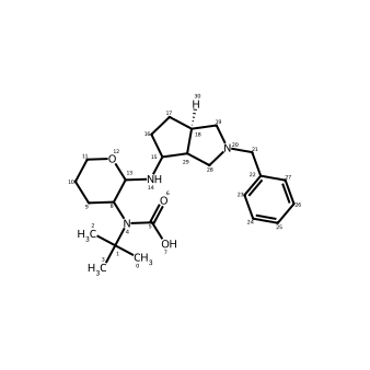 CC(C)(C)N(C(=O)O)C1CCCOC1NC1CC[C@H]2CN(Cc3ccccc3)CC12